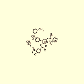 COCCCN1CCOc2ccc(C(O[C@H]3CN[C@H](CC(C)(C)c4nnn[nH]4)C[C@@H]3c3ccc(OC)cc3)=S(=O)=O)cc21.Cc1ccccc1